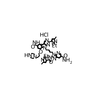 CCn1nc(C)cc1C(=O)Nc1nc2cc(C(N)=O)cnc2n1CC=CCn1c2nc(-c3cc(C)nn3CC)ncc2c2cc(C(N)=O)cc(OCCCN3CCNCC3)c21.Cl